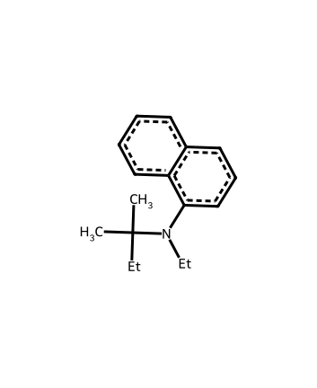 CCN(c1cccc2ccccc12)C(C)(C)CC